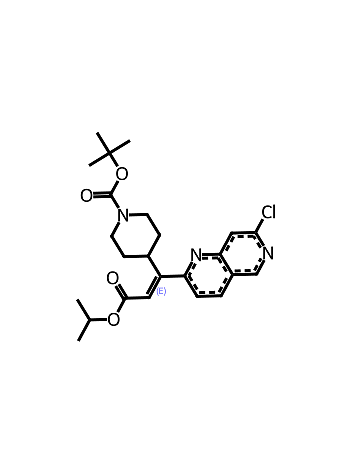 CC(C)OC(=O)/C=C(/c1ccc2cnc(Cl)cc2n1)C1CCN(C(=O)OC(C)(C)C)CC1